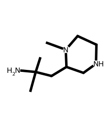 CN1CCNCC1CC(C)(C)N